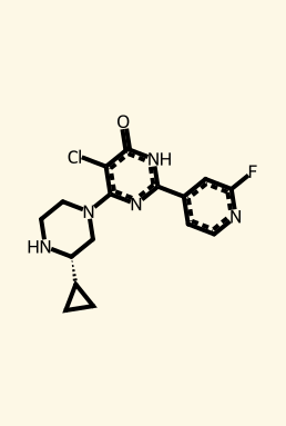 O=c1[nH]c(-c2ccnc(F)c2)nc(N2CCN[C@@H](C3CC3)C2)c1Cl